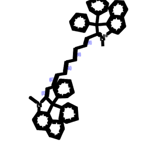 CN1/C(=C/C=C/C=C/C=C/C=C/C2=[N+](C)c3ccc4ccccc4c3C2(c2ccccc2)c2ccccc2)C(c2ccccc2)(c2ccccc2)c2c1ccc1ccccc21